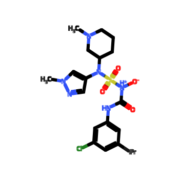 CC(C)c1cc(Cl)cc(NC(=O)[NH+]([O-])S(=O)(=O)N(c2cnn(C)c2)C2CCCN(C)C2)c1